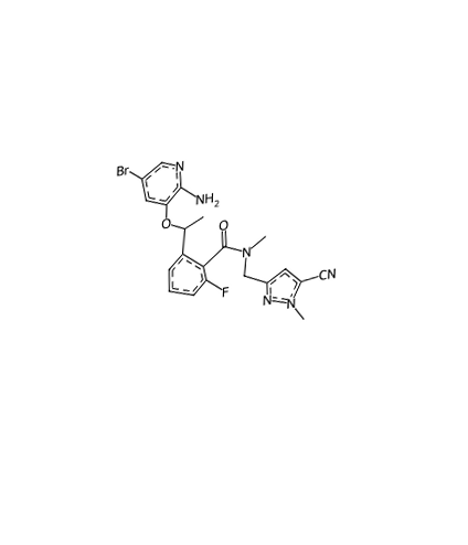 CC(Oc1cc(Br)cnc1N)c1cccc(F)c1C(=O)N(C)Cc1cc(C#N)n(C)n1